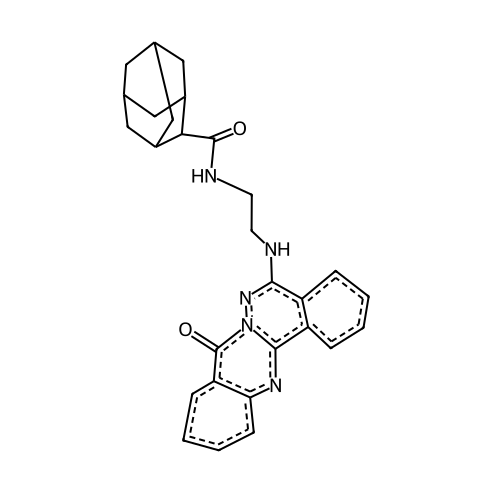 O=C(NCCNc1nn2c(=O)c3ccccc3nc2c2ccccc12)C1C2CC3CC(C2)CC1C3